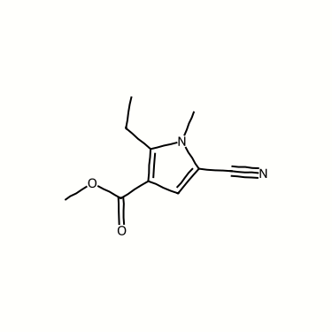 CCc1c(C(=O)OC)cc(C#N)n1C